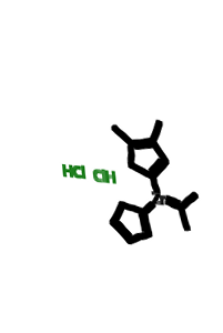 CC1=C(C)C[C]([Zr]([C]2=CC=CC2)=[C](C)C)=C1.Cl.Cl